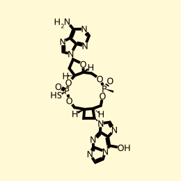 C[P@@]1(=O)OC[C@@H]2[C@@H](CO[P@@](=O)(S)O[C@H]3C[C@H](n4cnc5c(N)ncnc54)O[C@@H]3CO1)C[C@H]2n1cnc2c(O)n3ccnc3nc21